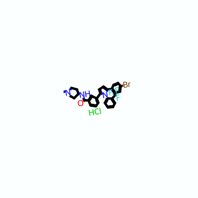 CN1CCC(NC(=O)c2cccc(-c3ccc(-c4ccc(Br)cc4)n3-c3ccccc3C(F)(F)F)c2)CC1.Cl